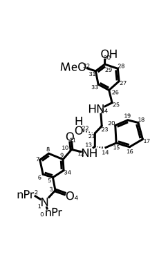 CCCN(CCC)C(=O)c1cccc(C(=O)N[C@@H](Cc2ccccc2)[C@H](O)CNCc2ccc(O)c(OC)c2)c1